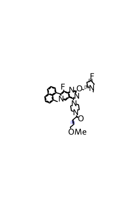 COC/C=C/C(=O)N1CCN(c2nc(OC[C@@H]3C[C@@H](F)CN3C)nc3c(F)c(-c4cccc5cccc(C)c45)ncc23)CC1